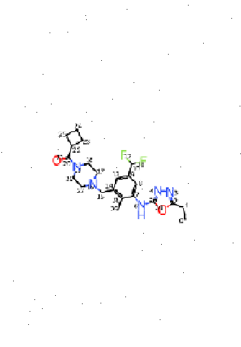 CCc1nnc(Nc2cc(C(F)F)cc(CN3CCN(C(=O)C4CCC4)CC3)c2C)o1